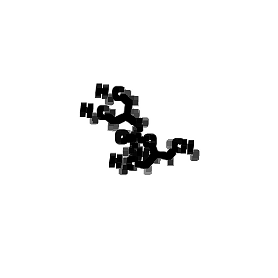 CCC(CC)OP(=O)(S)SC(CC)CC